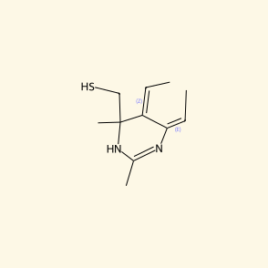 C/C=C1\C(=C/C)N=C(C)NC1(C)CS